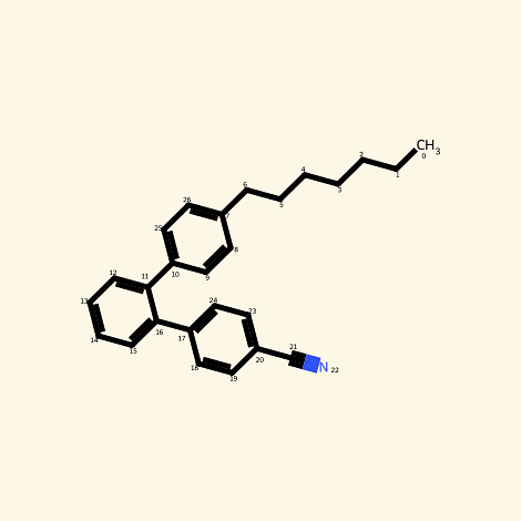 CCCCCCCc1ccc(-c2ccccc2-c2ccc(C#N)cc2)cc1